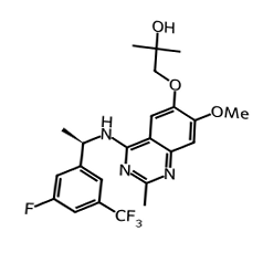 COc1cc2nc(C)nc(N[C@H](C)c3cc(F)cc(C(F)(F)F)c3)c2cc1OCC(C)(C)O